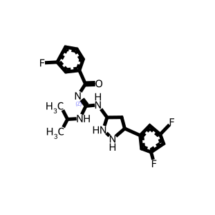 CC(C)N/C(=N/C(=O)c1cccc(F)c1)NC1CC(c2cc(F)cc(F)c2)NN1